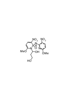 COC1=CC=C([N+](=O)[O-])C(Cl)(Nc2nc(OC)ccc2[N+](=O)[O-])N1C(O)CCO